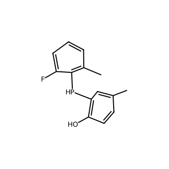 Cc1ccc(O)c(Pc2c(C)cccc2F)c1